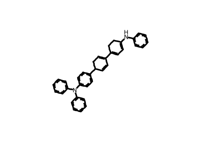 C1=CC(c2ccc(N(c3ccccc3)c3ccccc3)cc2)CC=C1C1=CC=C(Nc2ccccc2)CC1